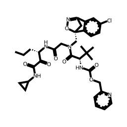 CCC[C@H](NC(=O)CN(C[C@@]12CC(=NO1)c1cc(Cl)ccc12)C(=O)[C@@H](NC(=O)OCc1ccccn1)C(C)(C)C)C(=O)C(=O)NC1CC1